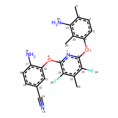 Cc1ccc(Oc2nc(Oc3cc(C#N)ccc3N)c(F)c(C)c2F)c(C)c1N